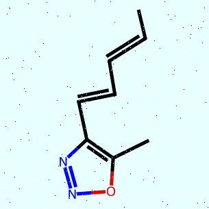 CC=CC=Cc1nnoc1C